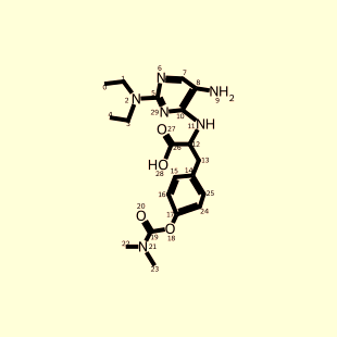 CCN(CC)c1ncc(N)c(NC(Cc2ccc(OC(=O)N(C)C)cc2)C(=O)O)n1